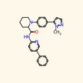 Cn1nccc1-c1ccc(N2CCCCC2C(=O)Nc2ccc(-c3ccccc3)cn2)cc1